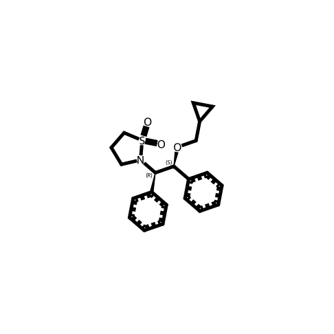 O=S1(=O)CCCN1[C@H](c1ccccc1)[C@@H](OCC1CC1)c1ccccc1